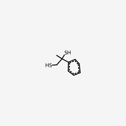 CC(S)(CS)c1ccccc1